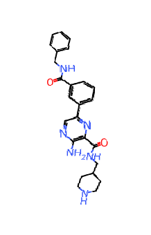 Nc1ncc(-c2cccc(C(=O)NCc3ccccc3)c2)nc1C(=O)NCC1CCNCC1